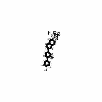 O=S(=O)(Oc1ccc2cc(-c3ccc(-c4ccc(I)cc4)c(F)c3)ccc2c1)C(F)(F)F